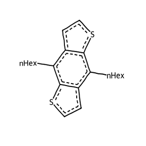 CCCCCCc1c2ccsc2c(CCCCCC)c2ccsc12